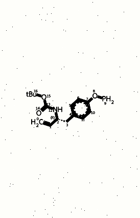 C=C[C@@H](Cc1ccc(OP)cc1)NC(=O)OC(C)(C)C